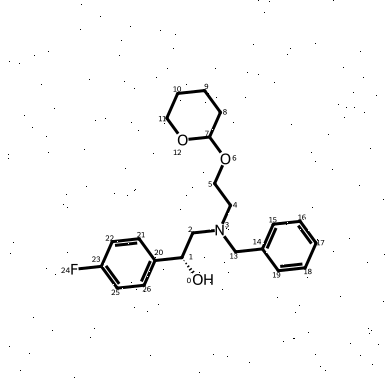 O[C@@H](CN(CCOC1CCCCO1)Cc1ccccc1)c1ccc(F)cc1